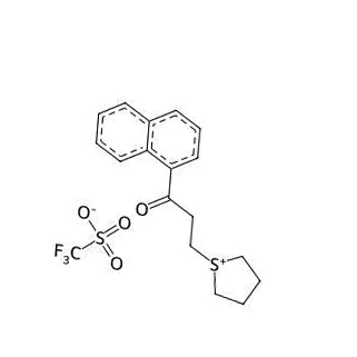 O=C(CC[S+]1CCCC1)c1cccc2ccccc12.O=S(=O)([O-])C(F)(F)F